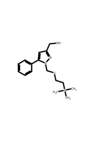 C[Si](C)(C)CCOCn1nc(CO)cc1-c1ccccc1